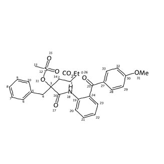 CCOC(=O)CCC(Cc1ccccc1)(OS(C)(=O)=O)C(=O)Nc1ccccc1C(=O)c1ccc(OC)cc1